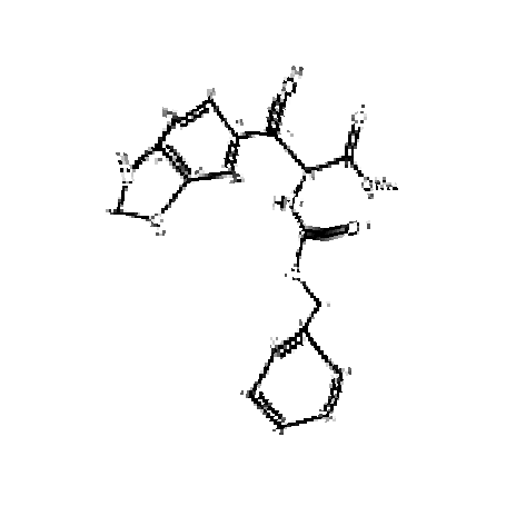 COC(=O)[C@@H](NC(=O)OCc1ccccc1)C(=O)c1ccc2c(c1)OCO2